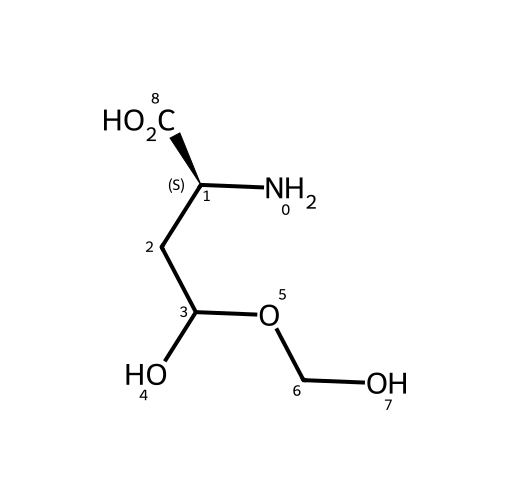 N[C@@H](CC(O)OCO)C(=O)O